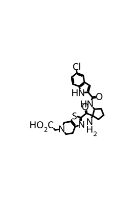 NC1(C(=O)c2nc3c(s2)CN(CC(=O)O)CC3)CCCC1NC(=O)c1cc2cc(Cl)ccc2[nH]1